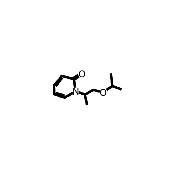 CC(C)OCC(C)n1ccccc1=O